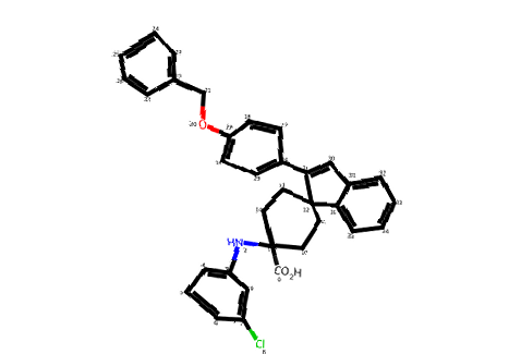 O=C(O)C1(Nc2cccc(Cl)c2)CCC2(CC1)C(c1ccc(OCc3ccccc3)cc1)=Cc1ccccc12